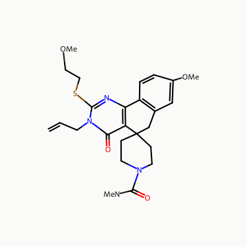 C=CCn1c(SCCOC)nc2c(c1=O)C1(CCN(C(=O)NC)CC1)Cc1cc(OC)ccc1-2